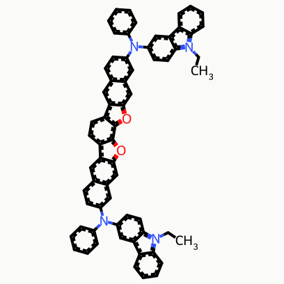 CCn1c2ccccc2c2cc(N(c3ccccc3)c3ccc4cc5c(cc4c3)oc3c5ccc4c5cc6ccc(N(c7ccccc7)c7ccc8c(c7)c7ccccc7n8CC)cc6cc5oc43)ccc21